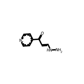 NNC=CC(=O)c1ccncc1